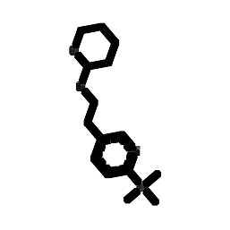 [CH3][Sn]([CH3])([CH3])[c]1ccc(CCOC2CCCCO2)cn1